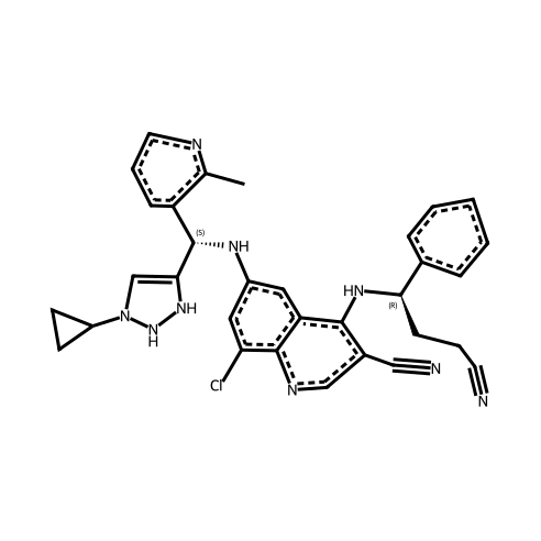 Cc1ncccc1[C@H](Nc1cc(Cl)c2ncc(C#N)c(N[C@H](CCC#N)c3ccccc3)c2c1)C1=CN(C2CC2)NN1